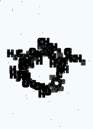 CC[C@H](C)[C@@H]1NC(=O)[C@H](CC(C)C)NC(=O)C(C)(C)NC(=O)CCNC(=O)c2cccc(c2)CNC(=O)[C@H](CCC(N)=O)NC1=O